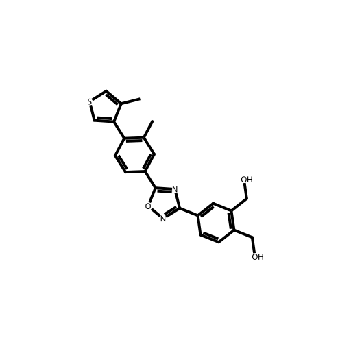 Cc1cc(-c2nc(-c3ccc(CO)c(CO)c3)no2)ccc1-c1cscc1C